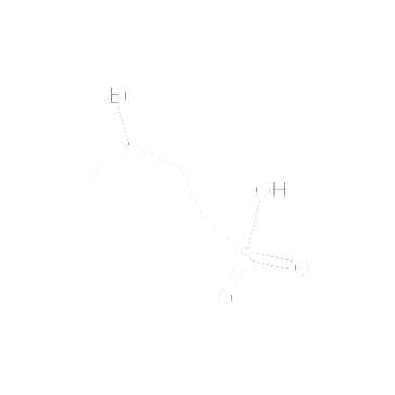 CCC(C)CCS(=O)(=O)O